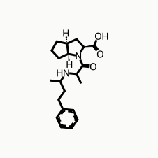 CC(CCc1ccccc1)NC(C)C(=O)N1[C@H](C(=O)O)C[C@@H]2CCC[C@@H]21